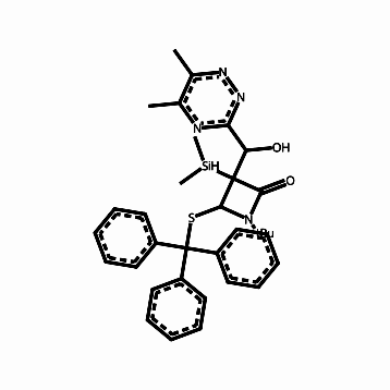 Cc1nnc(C(O)C2([SiH](C)C)C(=O)N(C(C)(C)C)C2SC(c2ccccc2)(c2ccccc2)c2ccccc2)nc1C